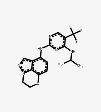 CC(C)Nc1nc(Nc2ccc3c4c2cnn4CCO3)ncc1C(F)(F)F